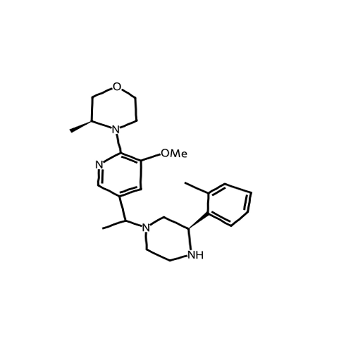 COc1cc(C(C)N2CCN[C@H](c3ccccc3C)C2)cnc1N1CCOC[C@@H]1C